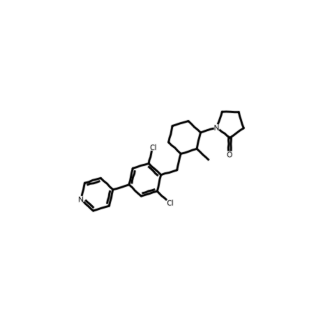 CC1C(Cc2c(Cl)cc(-c3ccncc3)cc2Cl)CCCC1N1CCCC1=O